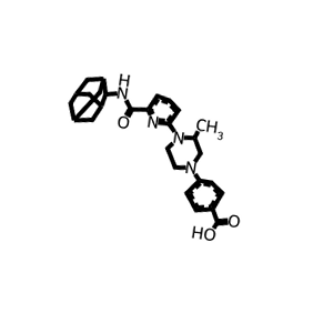 CC1CN(c2ccc(C(=O)O)cc2)CCN1c1cccc(C(=O)NC2C3CC4CC(C3)CC2C4)n1